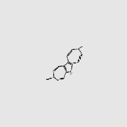 C[C@@H]1C=Cc2sc3c(c2C=C1)C=C[C@@H](C)C=C3